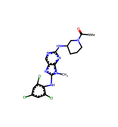 CNC(=O)N1CCCC(Nc2ncc3nc(Nc4c(Cl)cc(Cl)cc4Cl)n(C)c3n2)C1